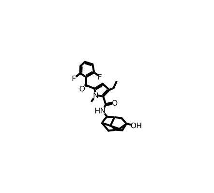 CCc1cc(C(=O)c2c(F)cccc2F)n(C)c1C(=O)NC1C2CC3CC1CC(O)(C3)C2